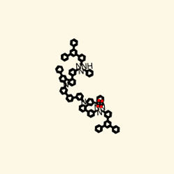 C1=CCCC(c2ccc3c(c2)c2c(-c4cccc(C5=NC(c6ccccc6)NC(c6cccc(-c7cc(-c8ccccc8)cc(-c8ccccc8)c7)c6)=N5)c4)cccc2n3-c2cccc(-c3cccc(-c4cccc(-n5c6ccc(-c7ccccc7)cc6c6c(-c7cccc(-c8nc(-c9ccccc9)nc(-c9cccc(-c%10cc(-c%11ccccc%11)cc(-c%11ccccc%11)c%10)c9)n8)c7)cccc65)c4)c3)c2)=C1